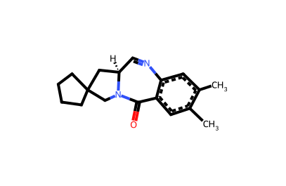 Cc1cc2c(cc1C)C(=O)N1CC3(CCCC3)C[C@H]1C=N2